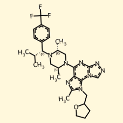 Cc1nc2c(N3C[C@@H](C)N([C@@H](c4ccc(C(F)(F)F)cc4)C(C)C)C[C@@H]3C)nc3nncn3c2n1CC1CCCO1